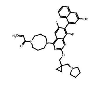 C=CC(=O)N1CCCN(c2nc(OCC3(CN4CCCC4)CC3)nc3c(F)c(-c4cc(O)cc5ccccc45)c(Cl)cc23)CCC1